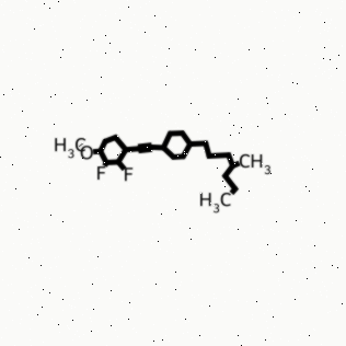 CCCC(C)CCCC1CCC(C#CC2CCC(OC)C(F)C2F)CC1